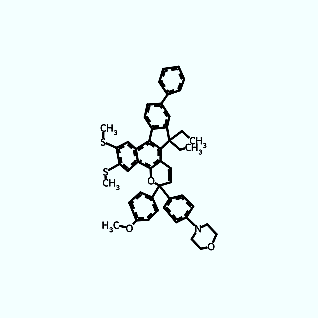 CCC1(CC)c2cc(-c3ccccc3)ccc2-c2c1c1c(c3cc(SC)c(SC)cc23)OC(c2ccc(OC)cc2)(c2ccc(N3CCOCC3)cc2)C=C1